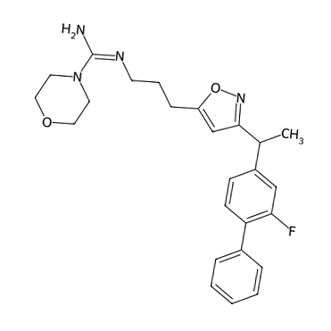 CC(c1ccc(-c2ccccc2)c(F)c1)c1cc(CCC/N=C(/N)N2CCOCC2)on1